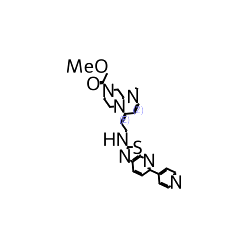 C=N/C=C\C(=C/CNc1nc2ccc(-c3ccncc3)nc2s1)N1CCN(C(=O)COC)CC1